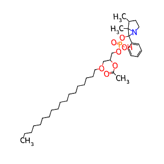 CCCCCCCCCCCCCCCCCCOCC(COP(=O)(O)OC1(c2ccccc2)N2CCC(C)C21C)OC(C)=O